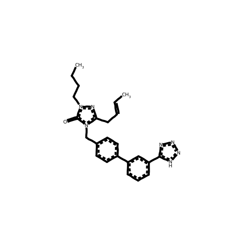 C/C=C/Cc1nn(CCCC)c(=O)n1Cc1ccc(-c2cccc(-c3nnn[nH]3)c2)cc1